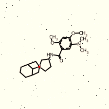 COc1cc(OC)c(N(C)C)cc1C(=O)NC1CCN(C2C3CCCC2CCC3)C1